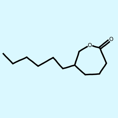 CCCCCCC1CCCC(=O)OC1